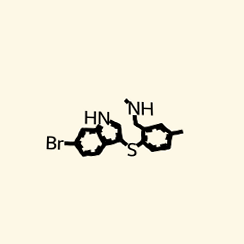 CNCc1cc(C)ccc1Sc1c[nH]c2cc(Br)ccc12